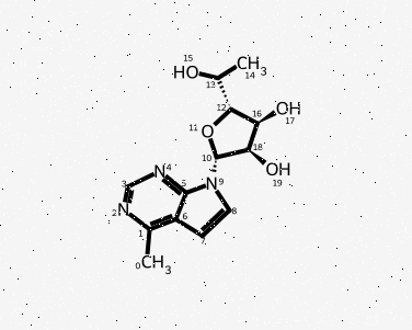 Cc1ncnc2c1ccn2[C@@H]1O[C@H](C(C)O)[C@@H](O)[C@H]1O